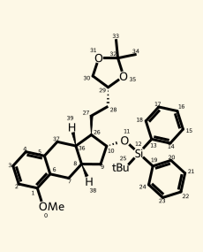 COc1cccc2c1C[C@H]1C[C@@H](O[Si](c3ccccc3)(c3ccccc3)C(C)(C)C)[C@H](CC[C@@H]3COC(C)(C)O3)[C@H]1C2